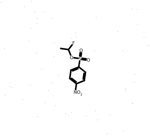 CC(F)OS(=O)(=O)c1ccc([N+](=O)[O-])cc1